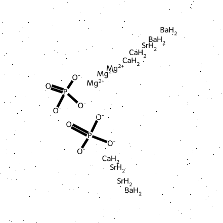 O=P([O-])([O-])[O-].O=P([O-])([O-])[O-].[BaH2].[BaH2].[BaH2].[CaH2].[CaH2].[CaH2].[Mg+2].[Mg+2].[Mg+2].[SrH2].[SrH2].[SrH2]